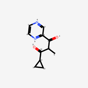 CC(C(=O)c1cnccn1)C(=O)C1CC1